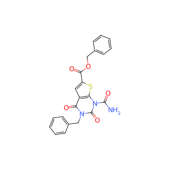 NC(=O)n1c(=O)n(Cc2ccccc2)c(=O)c2cc(C(=O)OCc3ccccc3)sc21